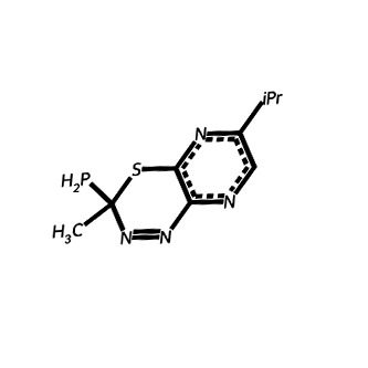 CC(C)c1cnc2c(n1)SC(C)(P)N=N2